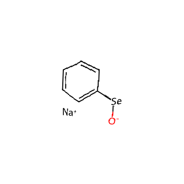 [Na+].[O-][Se]c1ccccc1